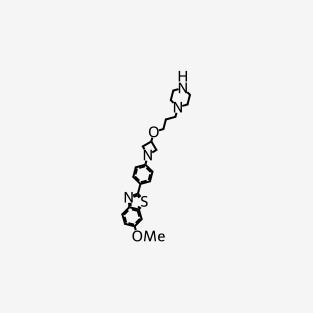 COc1ccc2nc(-c3ccc(N4CC(OCCCN5CCNCC5)C4)cc3)sc2c1